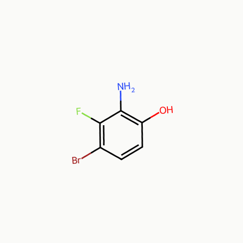 Nc1c(O)ccc(Br)c1F